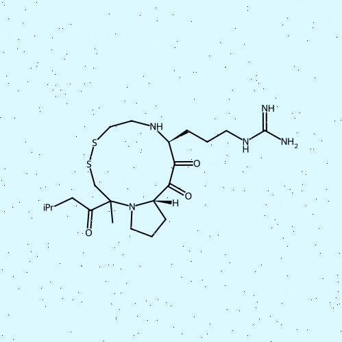 CC(C)CC(=O)C1(C)CSSCCN[C@@H](CCCNC(=N)N)C(=O)C(=O)[C@@H]2CCCN21